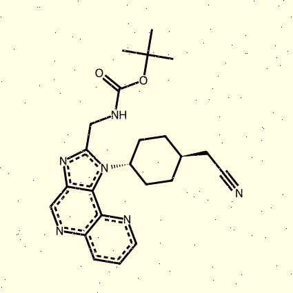 CC(C)(C)OC(=O)NCc1nc2cnc3cccnc3c2n1[C@H]1CC[C@H](CC#N)CC1